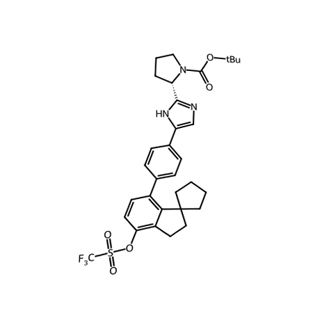 CC(C)(C)OC(=O)N1CCC[C@H]1c1ncc(-c2ccc(-c3ccc(OS(=O)(=O)C(F)(F)F)c4c3C3(CCCC3)CC4)cc2)[nH]1